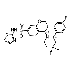 O=S(=O)(Nc1ncns1)c1ccc2c(c1)OCC[C@H]2N1CCC(F)(F)C[C@@H]1c1ccc(F)cc1